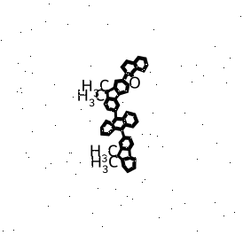 CC1(C)c2ccccc2-c2ccc(-c3c4ccccc4c(-c4ccc5c(c4)-c4cc6oc7c8ccccc8ccc7c6cc4C5(C)C)c4ccccc34)cc21